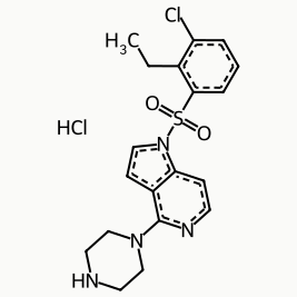 CCc1c(Cl)cccc1S(=O)(=O)n1ccc2c(N3CCNCC3)nccc21.Cl